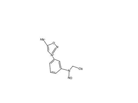 N#CCN(N=O)c1cccc(-[n+]2cc([NH-])on2)c1